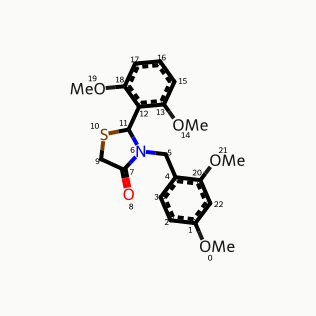 COc1ccc(CN2C(=O)CSC2c2c(OC)cccc2OC)c(OC)c1